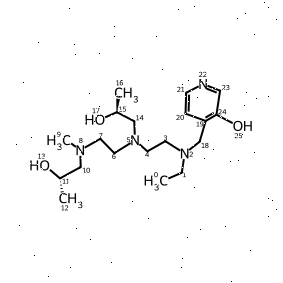 CCN(CCN(CCN(C)C[C@H](C)O)C[C@H](C)O)Cc1ccncc1O